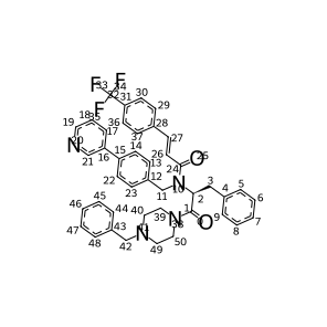 O=C([C@H](Cc1ccccc1)N(Cc1ccc(-c2cccnc2)cc1)C(=O)/C=C/c1ccc(C(F)(F)F)cc1)N1CCN(Cc2ccccc2)CC1